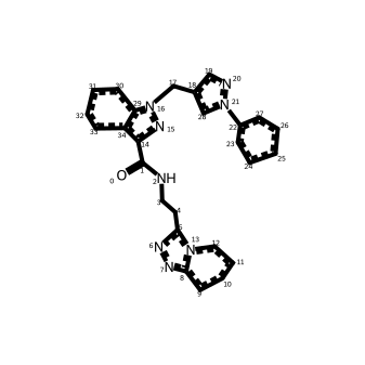 O=C(NCCc1nnc2ccccn12)c1nn(Cc2cnn(-c3ccccc3)c2)c2ccccc12